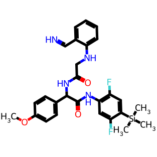 COc1ccc(C(NC(=O)CNc2ccccc2C=N)C(=O)Nc2cc(F)c([Si](C)(C)C)cc2F)cc1